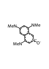 CNc1cc(NC)c2c[n+]([O-])cc(NC)c2c1